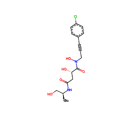 CC(C)(C)[C@@H](CO)NC(=O)C[C@H](O)C(=O)N(O)CC#Cc1ccc(Cl)cc1